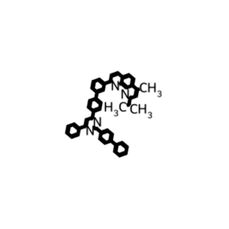 Cc1cc(C(C)C)nc2c1ccc1ccc(-c3cccc(-c4ccc(-c5cc(-c6ccccc6)nc(-c6ccc(-c7ccccc7)cc6)n5)cc4)c3)nc12